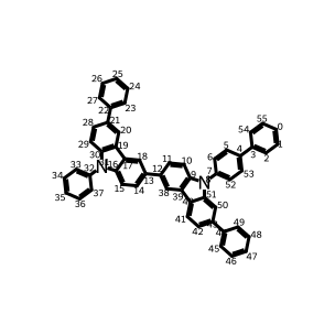 c1ccc(-c2ccc(-n3c4ccc(-c5ccc6c(c5)c5cc(-c7ccccc7)ccc5n6-c5ccccc5)cc4c4ccc(-c5ccccc5)cc43)cc2)cc1